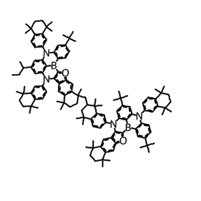 CCC(C)c1cc2c3c(c1)N(c1ccc4c(c1)C(C)(C)CCC4(C)C)c1c(oc4cc5c(cc14)C(C)(C)CCC5(C)CC1CC(C)(C)c4ccc(N5c6cc(C(C)(C)C)cc7c6B(c6cc(C(C)(C)C)ccc6N7c6ccc7c(c6)C(C)(C)CCC7(C)C)c6oc7cc8c(cc7c65)C(C)(C)CCC8(C)C)cc4C1(C)C)B3c1ccc(C(C)(C)C)cc1N2c1ccc2c(c1)C(C)(C)CCC2(C)C